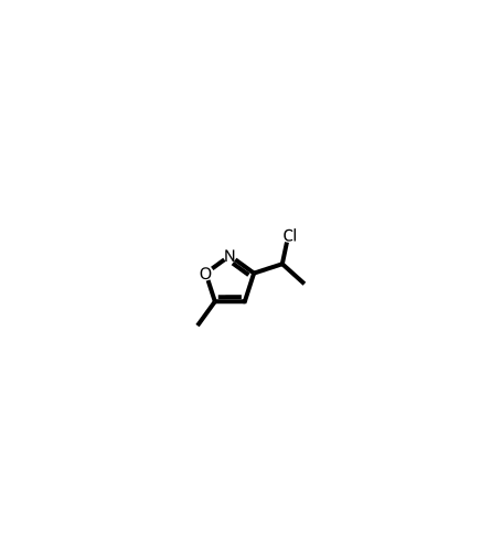 Cc1cc(C(C)Cl)no1